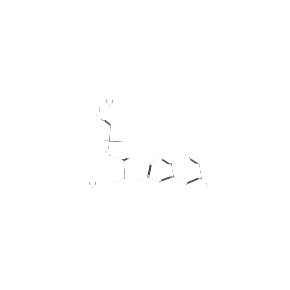 CO/N=C/C(C)(C)NC(=O)C(Oc1ccc2ncc(I)cc2c1)SC